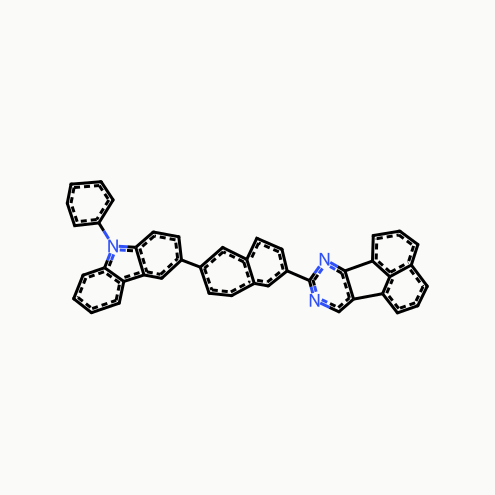 c1ccc(-n2c3ccccc3c3cc(-c4ccc5cc(-c6ncc7c(n6)-c6cccc8cccc-7c68)ccc5c4)ccc32)cc1